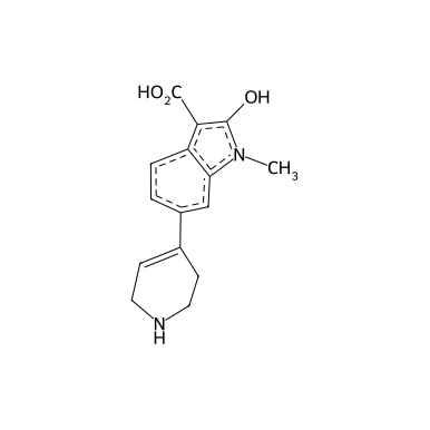 Cn1c(O)c(C(=O)O)c2ccc(C3=CCNCC3)cc21